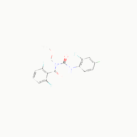 COCN(C(=O)Nc1ccc(Cl)cc1F)C(=O)c1c(F)cccc1F